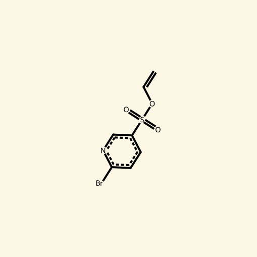 C=COS(=O)(=O)c1ccc(Br)nc1